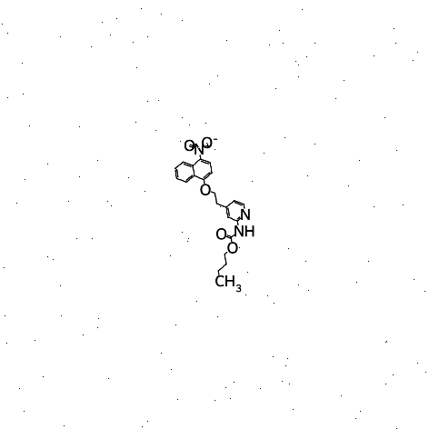 CCCCOC(=O)Nc1cc(CCOc2ccc([N+](=O)[O-])c3ccccc23)ccn1